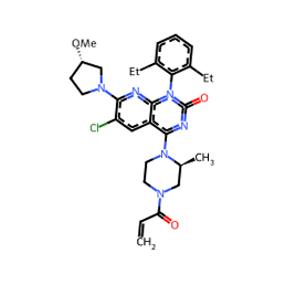 C=CC(=O)N1CCN(c2nc(=O)n(-c3c(CC)cccc3CC)c3nc(N4CC[C@H](OC)C4)c(Cl)cc23)[C@@H](C)C1